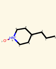 CCCC1CC[NH+]([O-])CC1